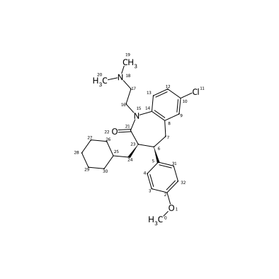 COc1ccc([C@@H]2Cc3cc(Cl)ccc3N(CCN(C)C)C(=O)[C@@H]2CC2CCCCC2)cc1